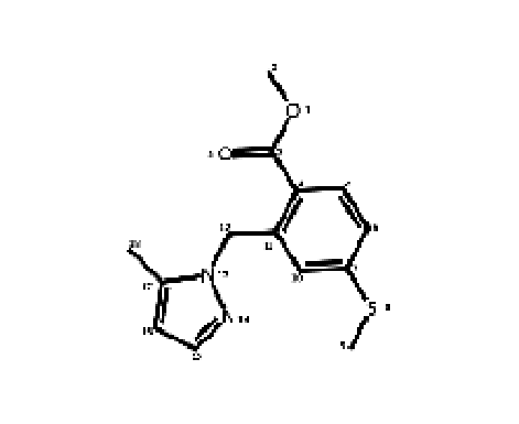 COC(=O)c1ccc(SC)cc1Cn1nccc1C